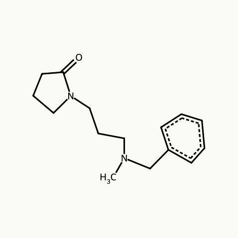 CN(CCCN1CCCC1=O)Cc1ccccc1